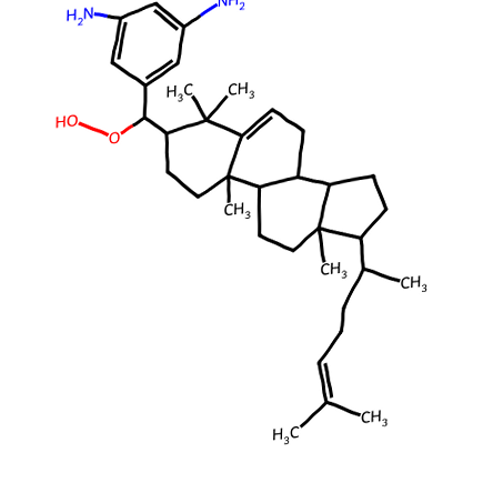 CC(C)=CCCC(C)C1CCC2C3CC=C4C(C)(C)C(C(OO)c5cc(N)cc(N)c5)CCC4(C)C3CCC12C